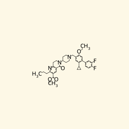 CCCc1nc2c(cc1C(=O)OC)C(=O)N(C1CCN(Cc3cc(C4CC4)c(-c4ccc(F)c(F)c4)cc3OCC)CC1)CC2